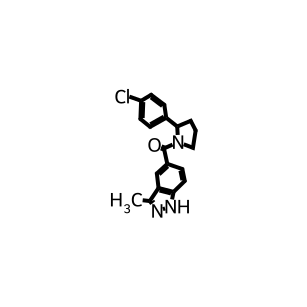 Cc1n[nH]c2ccc(C(=O)N3CCCC3c3ccc(Cl)cc3)cc12